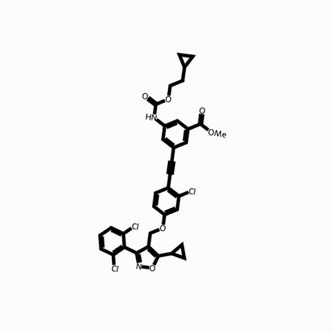 COC(=O)c1cc(C#Cc2ccc(OCc3c(-c4c(Cl)cccc4Cl)noc3C3CC3)cc2Cl)cc(NC(=O)OCCC2CC2)c1